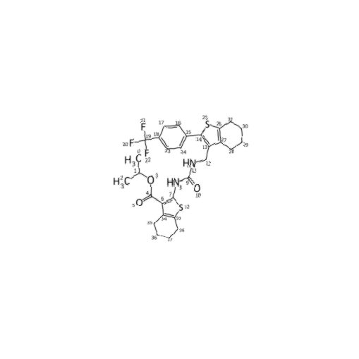 CC(C)OC(=O)c1c(NC(=O)NCc2c(-c3ccc(C(F)(F)F)cc3)sc3c2CCCC3)sc2c1CCCC2